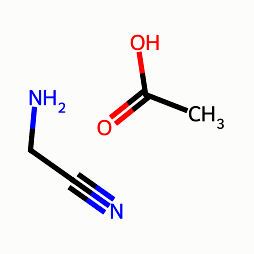 CC(=O)O.N#CCN